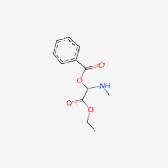 CCOC(=O)C(NC)OC(=O)c1ccccc1